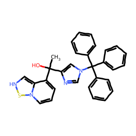 CC(O)(C1=CC=CN2SNC=C12)c1cn(C(c2ccccc2)(c2ccccc2)c2ccccc2)cn1